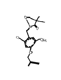 C=C(C)COc1cc(Cl)c(CN2OCC(C)(C)C2=O)cc1O